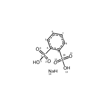 O=S(=O)(O)c1ccccc1S(=O)(=O)O.[NaH]